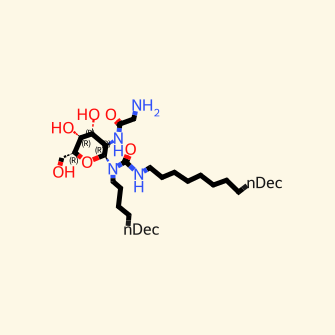 CCCCCCCCCCCCCCCCCCNC(=O)N(CCCCCCCCCCCCCC)[C@@H]1O[C@H](CO)[C@H](O)[C@H](O)[C@H]1NC(=O)CN